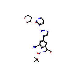 CC(C)(C)OC(=O)N1C[C@](C)(CO)c2cc(-c3ccnc(Nc4cccnc4O[C@H]4CCCOC4)n3)cc(C#N)c21